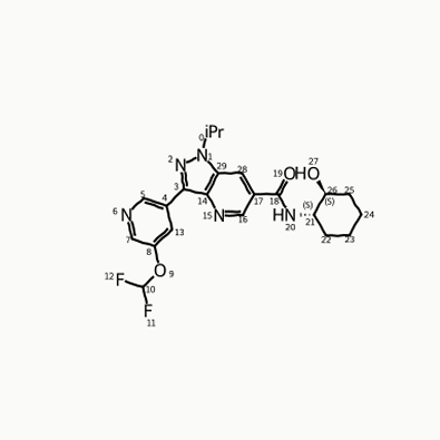 CC(C)n1nc(-c2cncc(OC(F)F)c2)c2ncc(C(=O)N[C@H]3CCCC[C@@H]3O)cc21